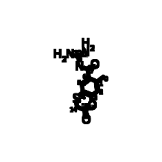 Cc1cc2c(cc1C(=O)N=C(N)N)SCC(=O)O2